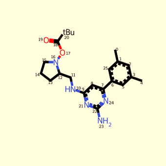 Cc1cc(C)cc(-c2cc(NCC3CCCN3OC(=O)C(C)(C)C)nc(N)n2)c1